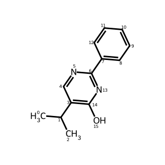 CC(C)c1cnc(-c2ccccc2)nc1O